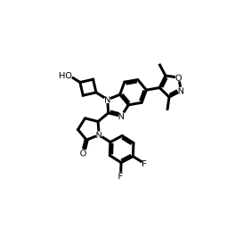 Cc1noc(C)c1-c1ccc2c(c1)nc(C1CCC(=O)N1c1ccc(F)c(F)c1)n2C1CC(O)C1